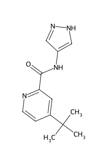 CC(C)(C)c1ccnc(C(=O)Nc2cn[nH]c2)c1